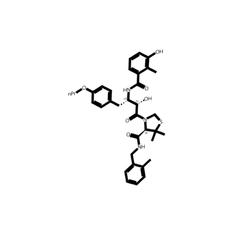 CCCOc1ccc(C[C@H](NC(=O)c2cccc(O)c2C)[C@H](O)C(=O)N2CSC(C)(C)[C@H]2C(=O)NCc2ccccc2C)cc1